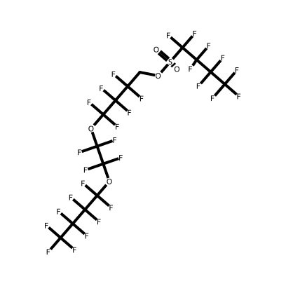 O=S(=O)(OCC(F)(F)C(F)(F)C(F)(F)OC(F)(F)C(F)(F)OC(F)(F)C(F)(F)C(F)(F)C(F)(F)F)C(F)(F)C(F)(F)C(F)(F)C(F)(F)F